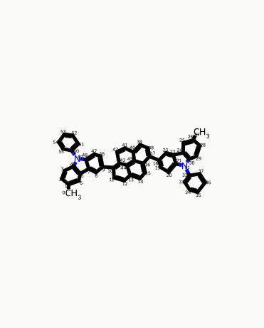 Cc1ccc2c(c1)c1cc(-c3ccc4ccc5c(-c6ccc7c(c6)c6cc(C)ccc6n7-c6ccccc6)ccc6ccc3c4c65)ccc1n2-c1ccccc1